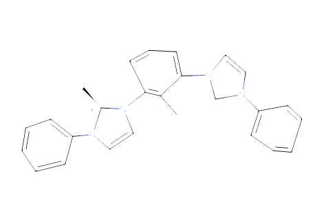 Cc1c(N2C=CN(c3ccccc3)[C@H]2C)cccc1N1C=CN(c2ccccc2)[C@@H]1C